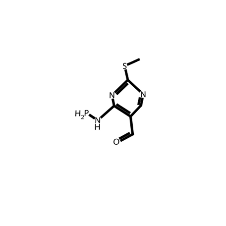 CSc1ncc(C=O)c(NP)n1